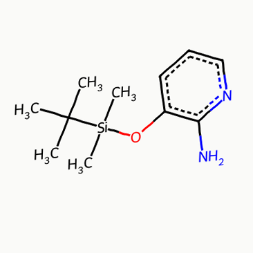 CC(C)(C)[Si](C)(C)Oc1cccnc1N